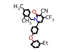 CCc1cccc(Oc2ccc(-c3cc(C(F)(F)F)c(C#N)c(=O)n3Cc3ccc(C)cc3C)cc2)c1